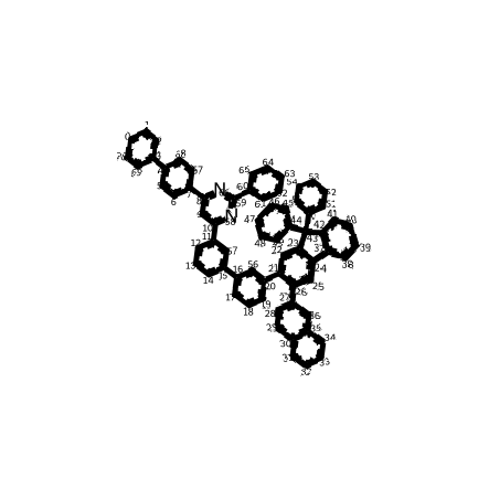 c1ccc(-c2ccc(-c3cc(-c4cccc(-c5cccc(-c6cc7c(cc6-c6ccc8ccccc8c6)-c6ccccc6C7(c6ccccc6)c6ccccc6)c5)c4)nc(-c4ccccc4)n3)cc2)cc1